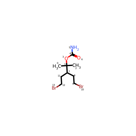 CC(C)(OC(N)=O)C(CCBr)CCBr